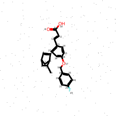 CC1CC2C=CC1C2.O=C(O)C=Cc1ccc(OCc2ccc(F)cc2)cc1